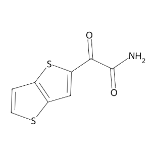 NC(=O)C(=O)c1cc2sccc2s1